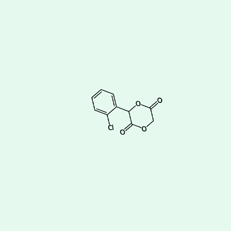 O=C1COC(=O)C(c2ccccc2Cl)O1